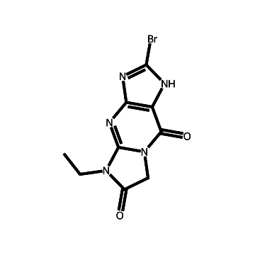 CCN1C(=O)Cn2c1nc1nc(Br)[nH]c1c2=O